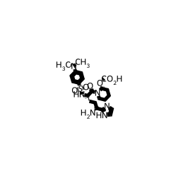 CN(C)c1ccc(S(=O)(=O)N[C@@H](CC[C@H](N)c2ncc[nH]2)C(=O)N2CCCC[C@H]2OC(=O)O)cc1